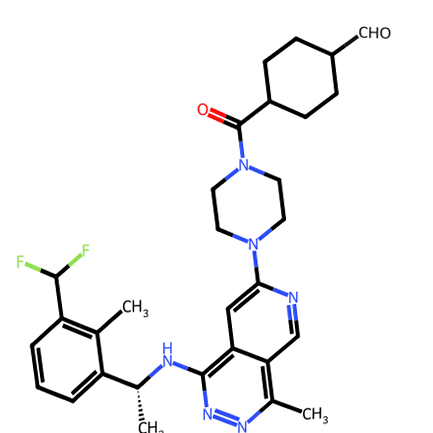 Cc1c(C(F)F)cccc1[C@@H](C)Nc1nnc(C)c2cnc(N3CCN(C(=O)C4CCC(C=O)CC4)CC3)cc12